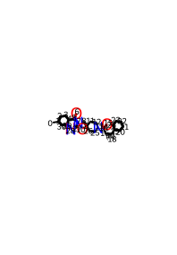 Cc1ccc2c(=O)n(CC3(O)CCN(C(=O)C[C@@H](C)c4ccccc4)CC3)cnc2c1